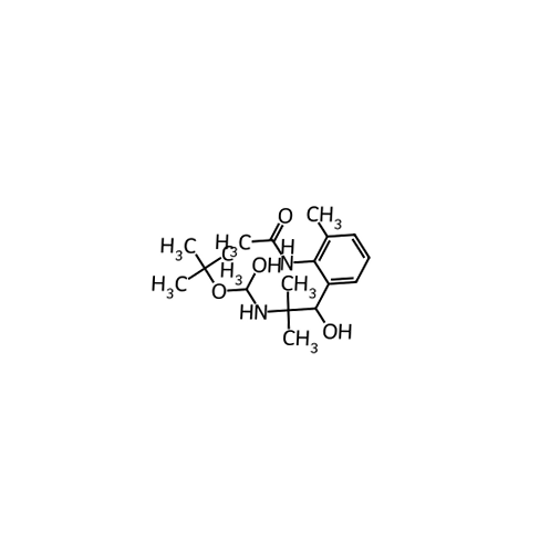 CC(=O)Nc1c(C)cccc1C(O)C(C)(C)NC(O)OC(C)(C)C